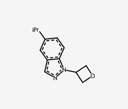 CC(C)c1ccc2c(cnn2C2COC2)c1